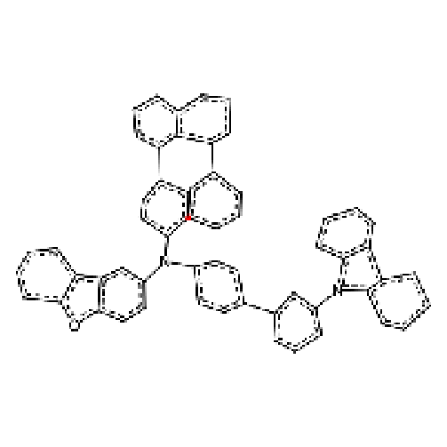 c1ccc(-c2cccc3cccc(-c4ccc(N(c5ccc(-c6cccc(-n7c8ccccc8c8ccccc87)c6)cc5)c5ccc6oc7ccccc7c6c5)cc4)c23)cc1